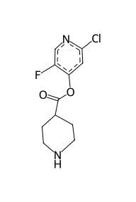 O=C(Oc1cc(Cl)ncc1F)C1CCNCC1